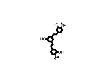 CN(C)c1ccc(/C=C/c2cc(O)cc(/C=C/c3ccc(N(C)C)c(O)c3)c2)cc1O